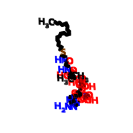 CCCCC/C=C\C/C=C\C/C=C\C/C=C\CCCCSCCNC(=O)CCNC(=O)C(O)C(C)(C)COP(=O)(O)OP(=O)(O)OC[C@H]1O[C@@H](n2cnc3c(N)ncnc32)[C@H](O)[C@@H]1OP(=O)(O)O